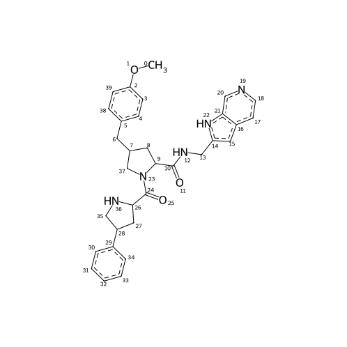 COc1ccc(CC2CC(C(=O)NCc3cc4ccncc4[nH]3)N(C(=O)C3CC(c4ccccc4)CN3)C2)cc1